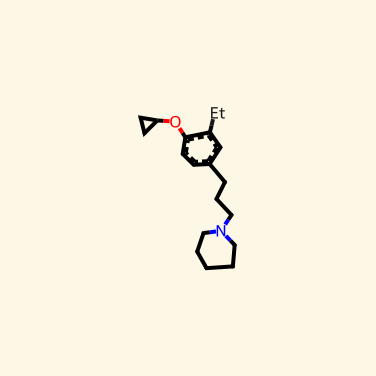 CCc1cc(CCCN2CCCCC2)ccc1OC1CC1